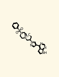 CCC(CN1CCN(S(=O)(=O)c2ccccc2)CC1)n1cc(-c2ncnc3[nH]ccc23)cn1